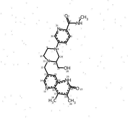 CNC(=O)c1ccc(N2CCN(Cc3cnc4c(C)c(C)c(=O)[nH]c4c3)C(CO)C2)cn1